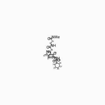 CNC(=O)CCNC(=O)Cn1nc(C)c(F)c1C(=O)NNS(=O)(=O)C1CCCCC1